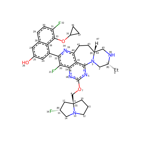 CC[C@@H]1CN2c3nc(OC[C@@]45CCCN4C[C@H](F)C5)nc4c(F)c(-c5cc(O)cc6ccc(F)c(OC7CC7)c56)nc(c34)CC[C@@H]2CN1